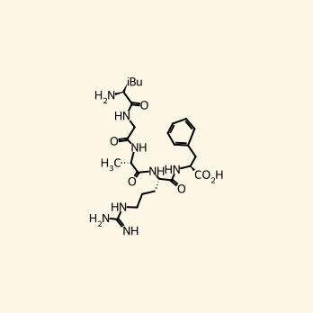 CC[C@H](C)[C@H](N)C(=O)NCC(=O)N[C@@H](C)C(=O)N[C@@H](CCCNC(=N)N)C(=O)N[C@@H](Cc1ccccc1)C(=O)O